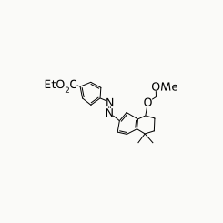 CCOC(=O)c1ccc(N=Nc2ccc3c(c2)C(OCOC)CCC3(C)C)cc1